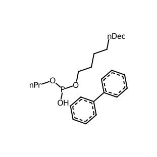 CCCCCCCCCCCCCCOP(O)OCCC.c1ccc(-c2ccccc2)cc1